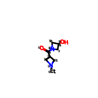 CCN1CC(C(=O)N2CC(O)C2)C1